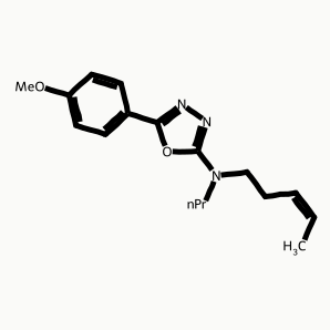 C/C=C\CCN(CCC)c1nnc(-c2ccc(OC)cc2)o1